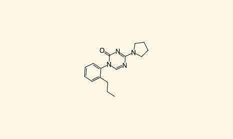 CCCc1ccccc1-n1cnc(N2CCCC2)nc1=O